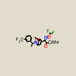 COC(=O)C(=NOC(F)F)c1cc2cc(C)c1ON2C(C)c1cccc(C(F)(F)F)c1